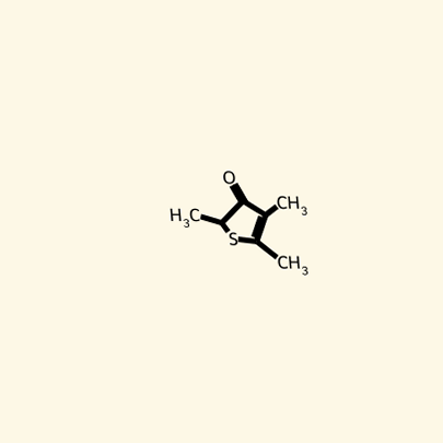 CC1=C(C)C(=O)C(C)S1